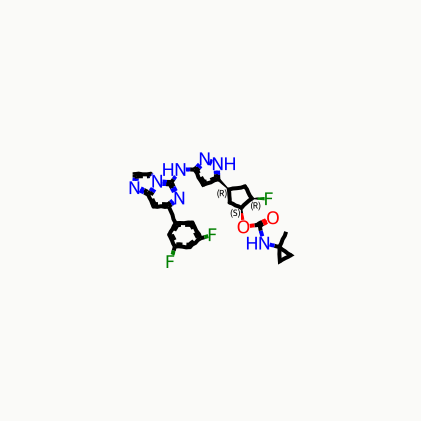 CC1(NC(=O)O[C@H]2C[C@@H](c3cc(Nc4nc(-c5cc(F)cc(F)c5)cc5nccn45)n[nH]3)C[C@H]2F)CC1